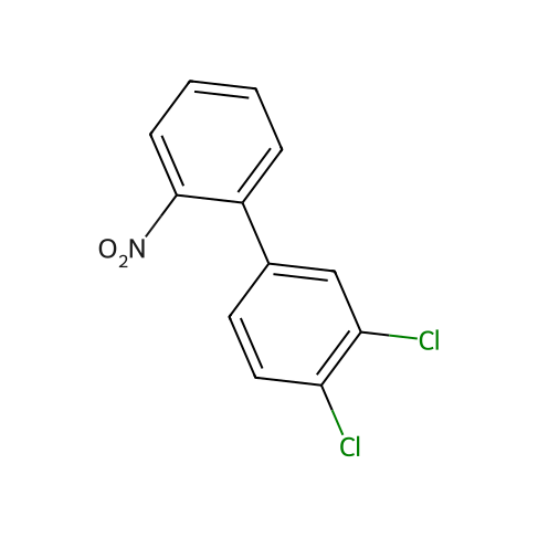 O=[N+]([O-])c1ccccc1-c1ccc(Cl)c(Cl)c1